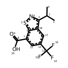 CC(C)c1nsc2c(C(=O)O)cc(C(F)(F)F)cc12